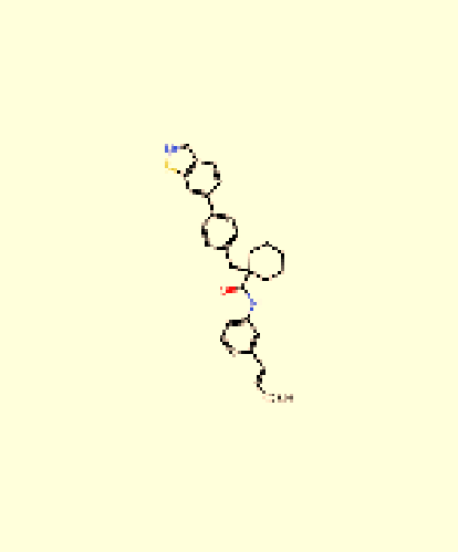 O=C(O)/C=C/c1cccc(NC(=O)C2(Cc3ccc(-c4ccc5cnsc5c4)cc3)CCCCC2)c1